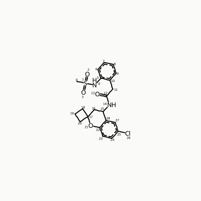 CS(=O)(=O)Nc1ccccc1CC(=O)NC1CC2(CCC2)Oc2ccc(Cl)cc21